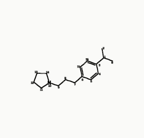 CC(C)c1ccc(CCCN2CCCC2)cc1